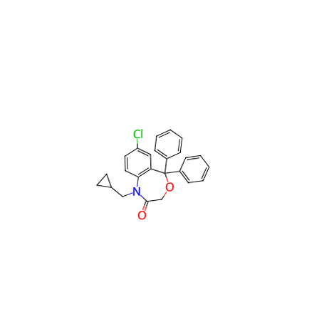 O=C1COC(c2ccccc2)(c2ccccc2)c2cc(Cl)ccc2N1CC1CC1